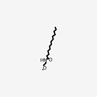 CCCCCCCCCCCCCC(=O)NCCOC